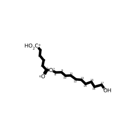 O=C(O)CCCCC(=O)OCCCCCCCCCCO